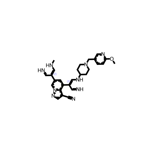 CN/C=C(\C=N)c1cc(/C(C=N)=C/NC2CCN(Cc3ccc(OC)nc3)CC2)c2c(C#N)cnn2c1